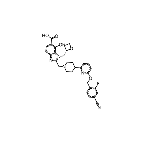 N#Cc1ccc(COc2cccc(C3CCN(Cc4nc5ccc(C(=O)O)c(O)c5n4C[C@@H]4CCO4)CC3)n2)c(F)c1